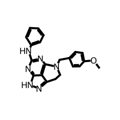 COc1ccc(CN2CCc3n[nH]c4nc(Nc5ccccc5)nc2c34)cc1